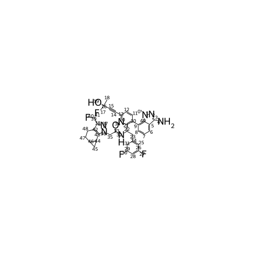 Cn1nc(N)c2cccc(-c3ccc(C#CC(C)(C)O)nc3C(CC3=CC(F)=CC(F)C3)NC(=O)Cn3nc(C(F)F)c4c3C3CC3CC4)c21